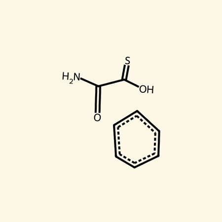 NC(=O)C(O)=S.c1ccccc1